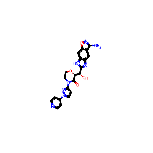 Nc1noc2cc3[nH]c([C@H](O)[C@H]4OCCN(c5ccn(-c6ccncc6)n5)C4=O)nc3cc12